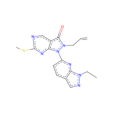 C=CCn1c(=O)c2cnc(SC)nc2n1-c1ccc2cnn(CC)c2n1